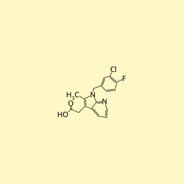 Cc1c(CC(=O)O)c2cccnc2n1Cc1ccc(F)c(Cl)c1